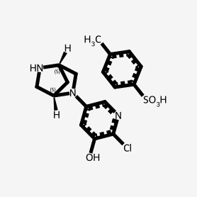 Cc1ccc(S(=O)(=O)O)cc1.Oc1cc(N2C[C@@H]3C[C@H]2CN3)cnc1Cl